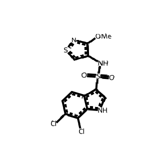 COc1nscc1NS(=O)(=O)c1c[nH]c2c(Cl)c(Cl)ccc12